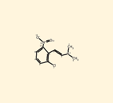 CN(C)/C=C/c1c(Cl)cccc1[N+](=O)[O-]